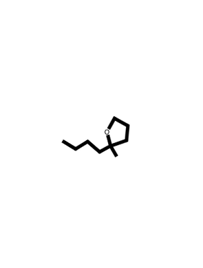 CCCCC1(C)CCCO1